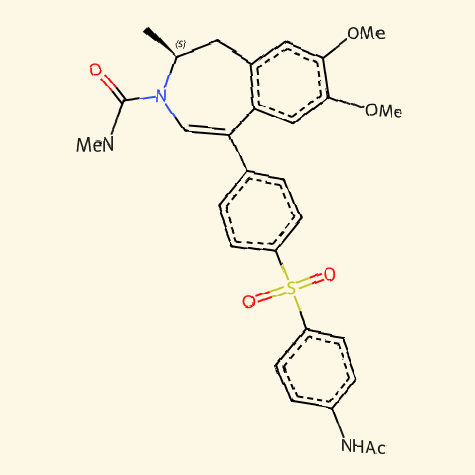 CNC(=O)N1C=C(c2ccc(S(=O)(=O)c3ccc(NC(C)=O)cc3)cc2)c2cc(OC)c(OC)cc2C[C@@H]1C